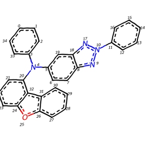 c1ccc(N(c2ccc3nn(-c4ccccc4)nc3c2)c2cccc3oc4ccccc4c23)cc1